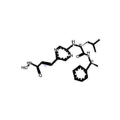 CC(C)C[C@@H](Nc1cnc(/C=C/C(=O)NO)cn1)C(=O)N[C@@H](C)c1ccccc1